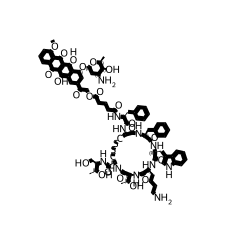 COc1cccc2c1C(=O)c1c(O)c3c(c(O)c1C2=O)CC(C(=O)COC(=O)CCCC(=O)N[C@H](Cc1ccccc1)C(=O)NC1CSSC[C@@H](C(=O)N[C@H](CO)[C@@H](C)O)NC(=O)[C@H]([C@@H](C)O)NC(=O)[C@H](CCCCN)NC(=O)[C@@H](Cc2c[nH]c4ccccc24)NC(=O)[C@H](Cc2ccccc2)NC1=O)C[C@@H]3O[C@H]1C[C@H](N)[C@H](O)[C@H](C)O1